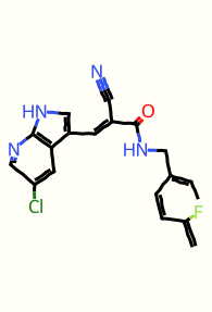 C=C(F)/C=C\C(=C/C)CNC(=O)/C(C#N)=C/c1c[nH]c2ncc(Cl)cc12